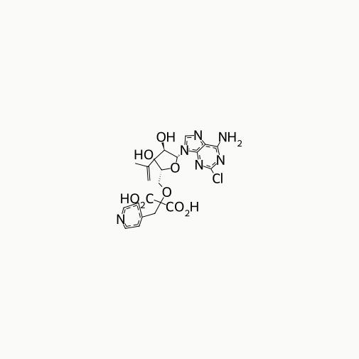 C=C(C)[C@@]1(O)[C@@H](COC(Cc2ccncc2)(C(=O)O)C(=O)O)O[C@@H](n2cnc3c(N)nc(Cl)nc32)[C@@H]1O